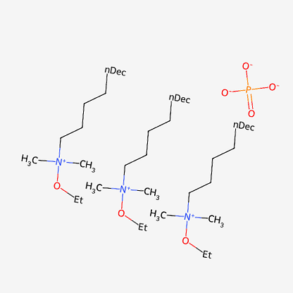 CCCCCCCCCCCCCC[N+](C)(C)OCC.CCCCCCCCCCCCCC[N+](C)(C)OCC.CCCCCCCCCCCCCC[N+](C)(C)OCC.O=P([O-])([O-])[O-]